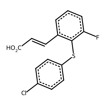 O=C(O)/C=C/c1cccc(F)c1Sc1ccc(Cl)cc1